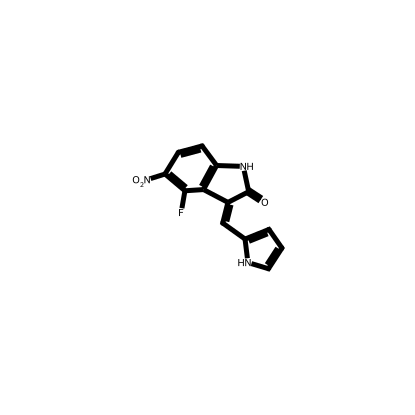 O=C1Nc2ccc([N+](=O)[O-])c(F)c2C1=Cc1ccc[nH]1